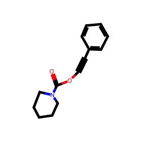 O=C(OC#Cc1ccccc1)N1CCCCC1